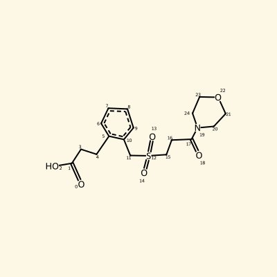 O=C(O)CCc1ccccc1CS(=O)(=O)CCC(=O)N1CCOCC1